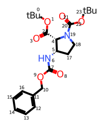 CC(C)(C)OC(=O)[C@H]1[C@@H](NC(=O)OCc2ccccc2)CCN1C(=O)OC(C)(C)C